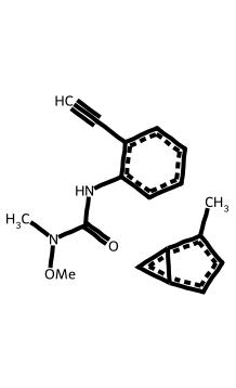 C#Cc1ccccc1NC(=O)N(C)OC.Cc1ccc2cc1-2